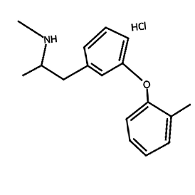 CNC(C)Cc1cccc(Oc2ccccc2C)c1.Cl